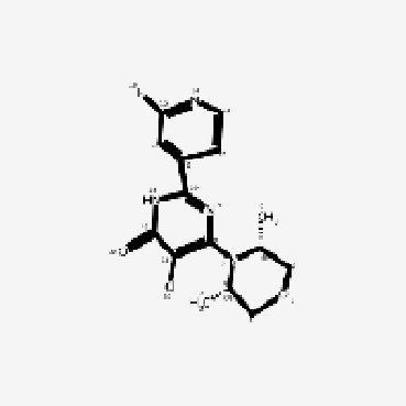 C[C@@H]1COC[C@H](C)N1c1nc(-c2ccnc(F)c2)[nH]c(=O)c1Cl